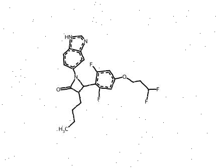 CCCCC1C(=O)N(c2ccc3[nH]cnc3c2)C1c1c(F)cc(OCCC(F)F)cc1F